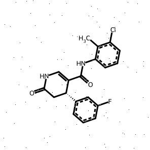 Cc1c(Cl)cccc1NC(=O)C1=CNC(=O)C[C@H]1c1cccc(F)c1